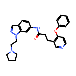 O=C(CCc1cnccc1Oc1ccccc1)Nc1ccc2cnn(CCN3CCCC3)c2c1